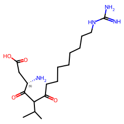 CC(C)[C](C(=O)CCCCCCCCNC(=N)N)C(=O)[C@@H](N)CC(=O)O